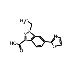 CCn1nc(C(=O)O)c2ccc(-c3ncco3)cc21